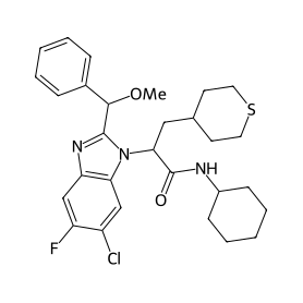 COC(c1ccccc1)c1nc2cc(F)c(Cl)cc2n1C(CC1CCSCC1)C(=O)NC1CCCCC1